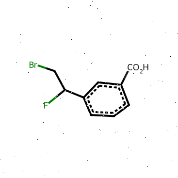 O=C(O)c1cccc(C(F)CBr)c1